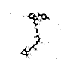 COc1ccc2c(c1)c(CC(=O)NCCOC(=O)\C=C(C)/C=C/C=C(C)/C=C/C1=C(C)CCCC1(C)C)c(C)n2C(=O)c1ccc(CI)cc1